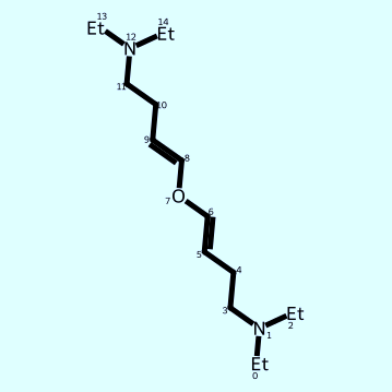 CCN(CC)CCC=COC=CCCN(CC)CC